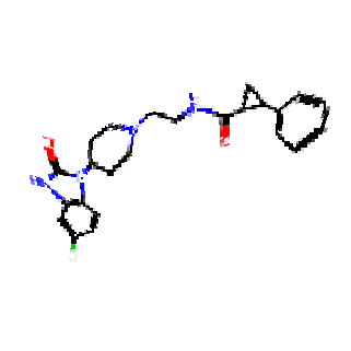 O=C(NCCN1CCC(n2c(=O)[nH]c3cc(Cl)ccc32)CC1)C1CC1c1ccccc1